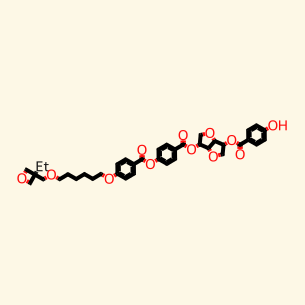 CCC1(COCCCCCCOc2ccc(C(=O)Oc3ccc(C(=O)OC4COC5C(OC(=O)c6ccc(O)cc6)COC45)cc3)cc2)COC1